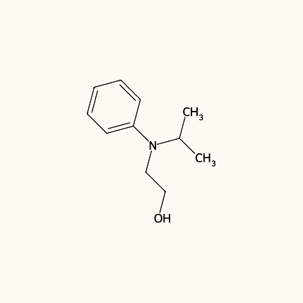 CC(C)N(CCO)c1ccccc1